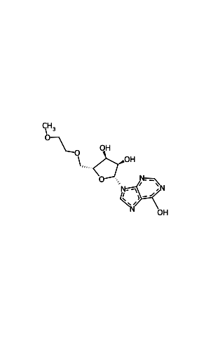 COCCOC[C@H]1O[C@@H](n2cnc3c(O)ncnc32)[C@H](O)[C@@H]1O